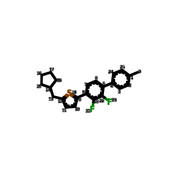 Cc1ccc(-c2ccc(-c3ccc(CC4CCCC4)s3)c(F)c2F)cc1